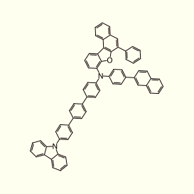 c1ccc(-c2cc3ccccc3c3c2oc2c(N(c4ccc(-c5ccc(-c6ccc(-n7c8ccccc8c8ccccc87)cc6)cc5)cc4)c4ccc(-c5ccc6ccccc6c5)cc4)cccc23)cc1